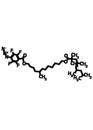 CC(C)CC(C)CC(C)CC(C)(C)C(=O)OCCCCCCCC(C)CCCCOC(=O)c1c(F)c(F)c(N=[N+]=[N-])c(F)c1F